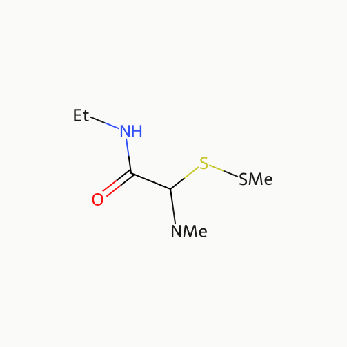 CCNC(=O)C(NC)SSC